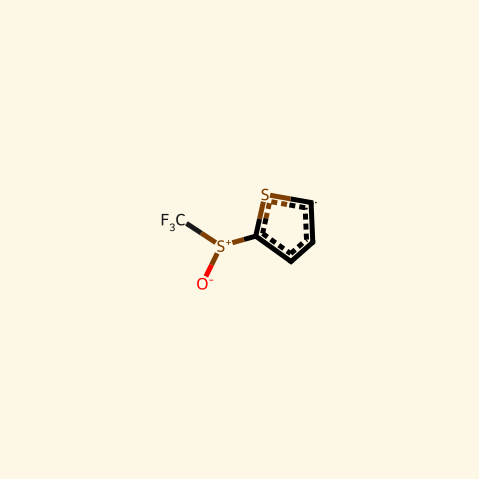 [O-][S+](c1cc[c]s1)C(F)(F)F